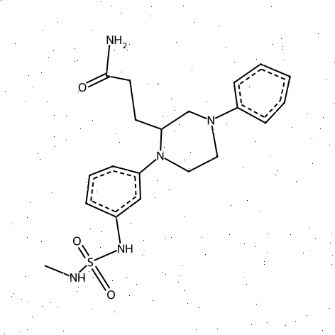 CNS(=O)(=O)Nc1cccc(N2CCN(c3ccccc3)CC2CCC(N)=O)c1